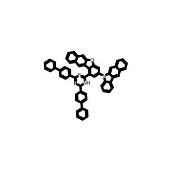 c1ccc(-c2ccc(C3=NC(c4ccc(-c5ccccc5)cc4)NC(c4cc(-n5c6ccccc6c6cc7ccccc7cc65)cc5oc6cc7ccccc7cc6c45)=N3)cc2)cc1